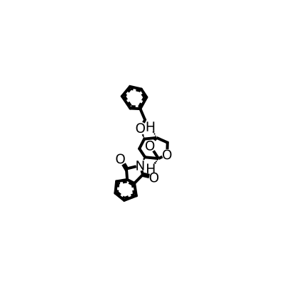 O=C1c2ccccc2C(=O)N1[C@@H]1C[C@H](OCc2ccccc2)[C@H]2CO[C@@H]1O2